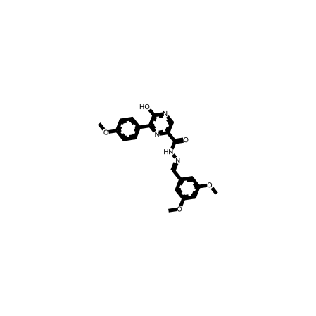 COc1ccc(-c2nc(C(=O)N/N=C/c3cc(OC)cc(OC)c3)cnc2O)cc1